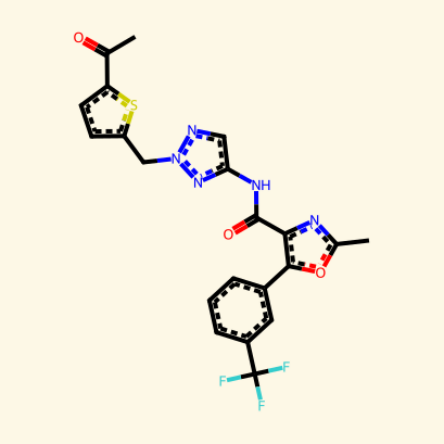 CC(=O)c1ccc(Cn2ncc(NC(=O)c3nc(C)oc3-c3cccc(C(F)(F)F)c3)n2)s1